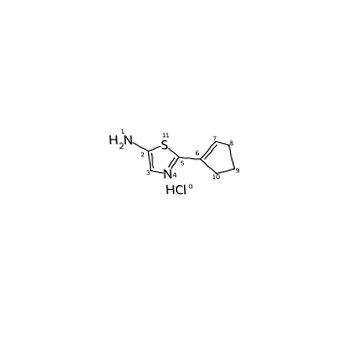 Cl.Nc1cnc(C2=CCCC2)s1